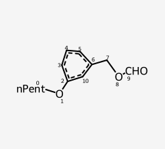 CCCCCOc1cccc(COC=O)c1